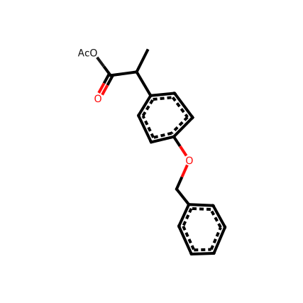 CC(=O)OC(=O)C(C)c1ccc(OCc2ccccc2)cc1